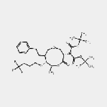 C[C@@H]1OC(=O)[C@@H](N(C(=O)OC(C)(C)C)C(=O)OC(C)(C)C)COC[C@H](CCc2ccccc2)[C@H]1OCCCC(F)(F)F